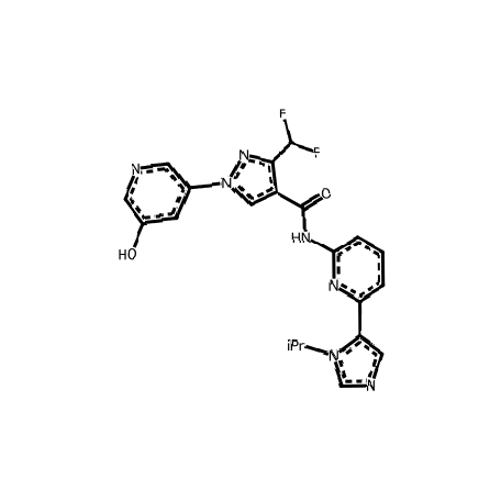 CC(C)n1cncc1-c1cccc(NC(=O)c2cn(-c3cncc(O)c3)nc2C(F)F)n1